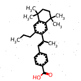 CCCc1cc2c(cc1C(C)=Cc1ccc(C(=O)O)cc1)C(C)(C)CCC2(C)C